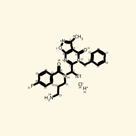 CCC(c1nc2onc(C)c2c(=O)n1Cc1ccccc1)N(CCCN)C(=O)c1ccc(F)cc1.[Cl-].[H+]